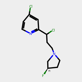 F[C@@H]1CCN(CCC(Cl)c2cc(Cl)ccn2)C1